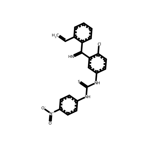 C=Cc1ccccc1C(=N)c1cc(NC(=S)Nc2ccc([N+](=O)[O-])cc2)ccc1Cl